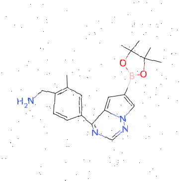 Cc1cc(-c2ncnn3cc(B4OC(C)(C)C(C)(C)O4)cc23)ccc1CN